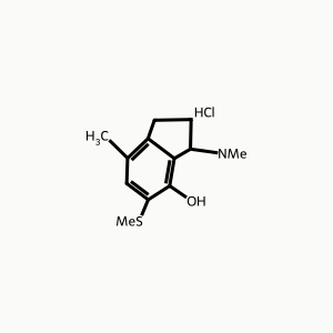 CNC1CCc2c(C)cc(SC)c(O)c21.Cl